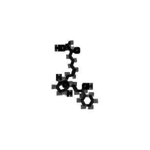 CN(O)C(=O)CCC/C=C\C[C@H]1[C@@H](/C=C/C(O)C2CCCCC2)[C@H]2CC[C@@H]1O2